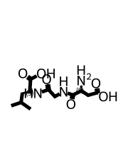 CC(C)C[C@H](NC(=O)CNC(=O)[C@@H](N)CC(=O)O)C(=O)O